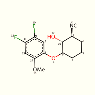 [C-]#[N+][C@H]1CCCC(Oc2cc(F)c(F)cc2OC)[C@@H]1O